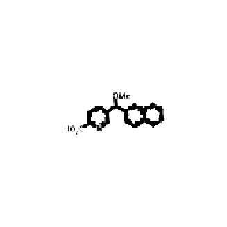 COC(c1ccc(C(=O)O)nc1)c1ccc2ccccc2c1